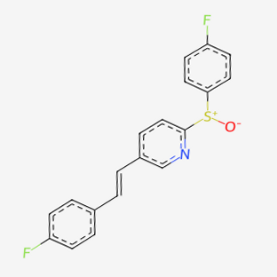 [O-][S+](c1ccc(F)cc1)c1ccc(/C=C/c2ccc(F)cc2)cn1